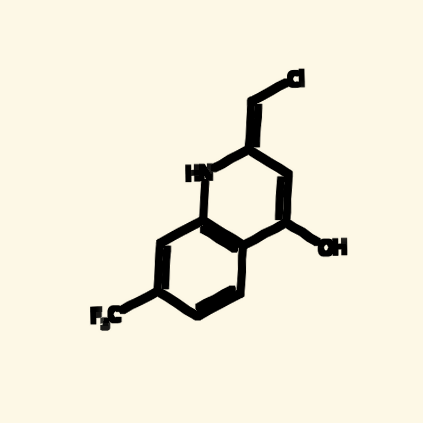 OC1=CC(=CCl)Nc2cc(C(F)(F)F)ccc21